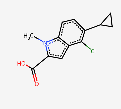 Cn1c(C(=O)O)cc2c(Cl)c(C3CC3)ccc21